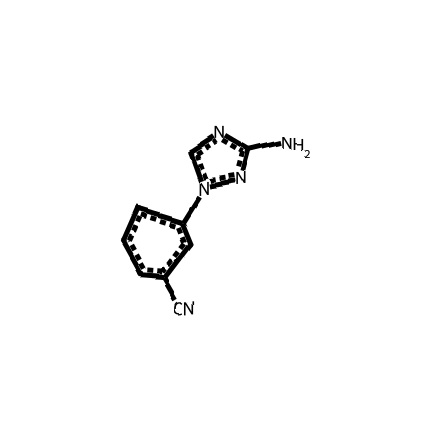 N#Cc1cccc(-n2cnc(N)n2)c1